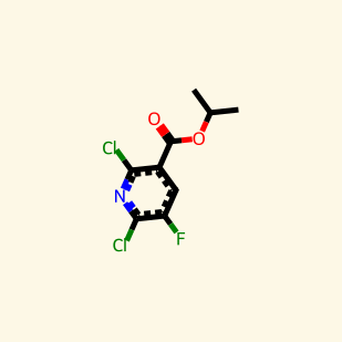 CC(C)OC(=O)c1cc(F)c(Cl)nc1Cl